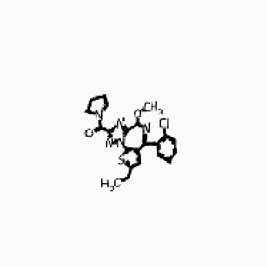 CCc1cc2c(s1)-n1nc(C(=O)N3CCCC3)nc1C(OC)N=C2c1ccccc1Cl